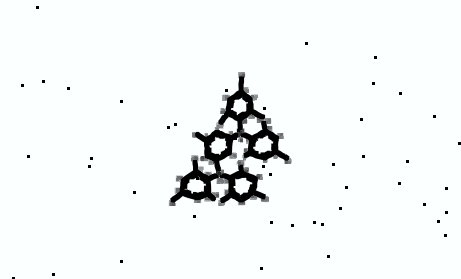 Cc1cc(N(c2c(C)cc(C)cc2C)c2c(C)cc(C)cc2C)cc(N(c2c(C)cc(C)cc2C)c2c(C)cc(C)cc2C)c1